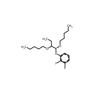 CCCCCOC(CC)[C@@H](OCCCCC)Oc1cccc(F)c1F